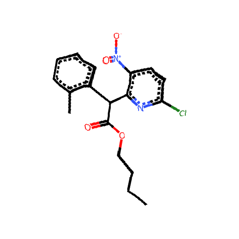 CCCCOC(=O)C(c1ccccc1C)c1nc(Cl)ccc1[N+](=O)[O-]